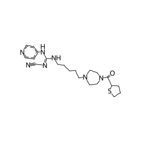 N#CN=C(NCCCCCN1CCN(C(=O)C2CCCS2)CC1)Nc1ccncc1